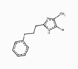 Cc1nc(CCCc2ccccc2)[nH]c1Br